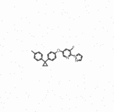 Cc1ccc(C2(c3ccc(Oc4cnc(-n5cccn5)c(F)c4)cc3)CC2)cc1